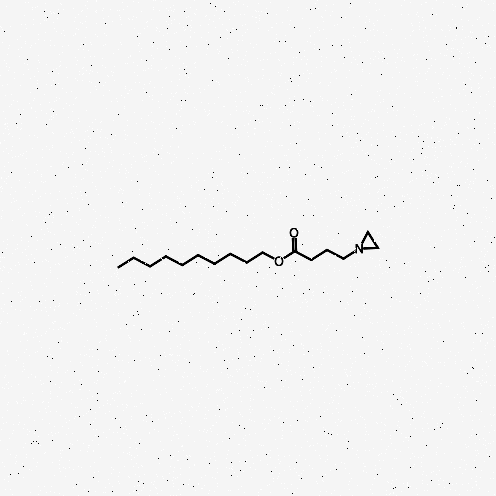 CCCCCCCCCCOC(=O)CCCN1CC1